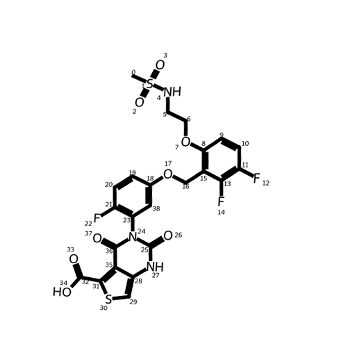 CS(=O)(=O)NCCOc1ccc(F)c(F)c1COc1ccc(F)c(-n2c(=O)[nH]c3csc(C(=O)O)c3c2=O)c1